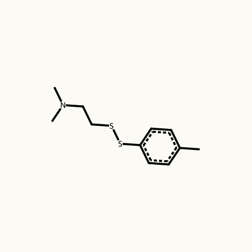 Cc1ccc(SSCCN(C)C)cc1